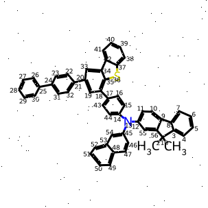 CC1(C)c2ccccc2-c2ccc(N(c3ccc(-c4cc(-c5ccc(-c6ccccc6)cc5)cc5c4sc4ccccc45)cc3)c3ccc4ccccc4c3)cc21